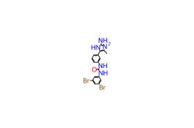 Cc1nc(N)[nH]c1-c1cccc(NC(=O)Nc2cc(Br)cc(Br)c2)c1